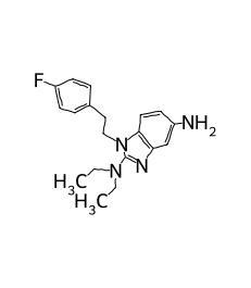 CCN(CC)c1nc2cc(N)ccc2n1CCc1ccc(F)cc1